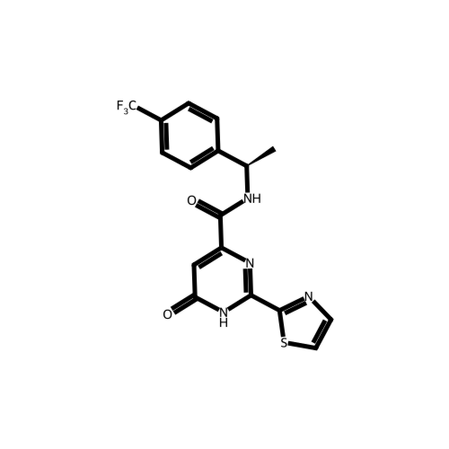 C[C@@H](NC(=O)c1cc(=O)[nH]c(-c2nccs2)n1)c1ccc(C(F)(F)F)cc1